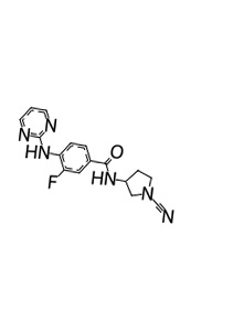 N#CN1CCC(NC(=O)c2ccc(Nc3ncccn3)c(F)c2)C1